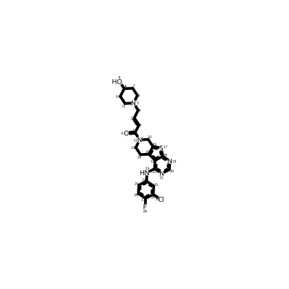 O=C(C=CCN1CCC(O)CC1)N1CCc2c(sc3ncnc(Nc4ccc(F)c(Cl)c4)c23)C1